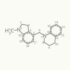 CN1CCc2c(CN3CCCc4ccccc43)cccc21